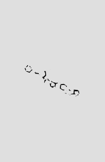 O=C(COc1c(C(=O)O)sc(-c2cccc(NC3CCN(S(=O)(=O)Cc4ccccc4)CC3)c2)c1Cl)OC1CCCCC1